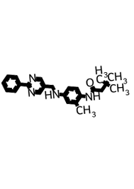 Cc1cc(NCc2cnc(-c3ccccc3)nc2)ccc1NC(=O)CC(C)(C)C